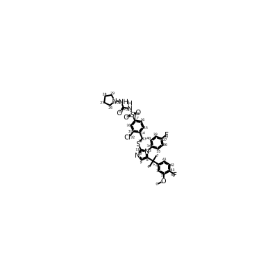 COc1cc(C(C)(C)c2cnc(SCc3ccc(S(=O)(=O)NC(=O)NN4CCCC4)cc3Cl)n2-c2ccc(F)cc2)ccc1F